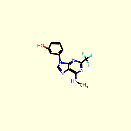 CNc1nc(C(F)(F)F)nc2c1ncn2-c1cccc(O)c1